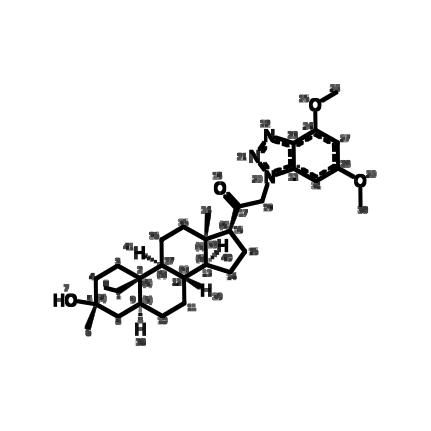 CC[C@]12CC[C@@](C)(O)C[C@@H]1CC[C@H]1[C@@H]3CC[C@H](C(=O)Cn4nnc5c(OC)cc(OC)cc54)[C@@]3(C)CC[C@@H]12